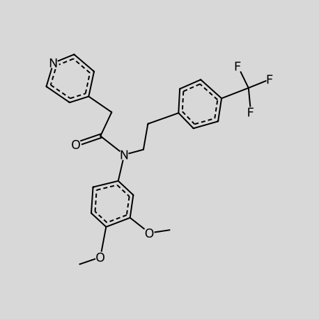 COc1ccc(N(CCc2ccc(C(F)(F)F)cc2)C(=O)Cc2ccncc2)cc1OC